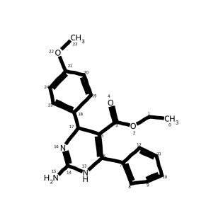 CCOC(=O)C1=C(c2ccccc2)NC(N)=NC1c1ccc(OC)cc1